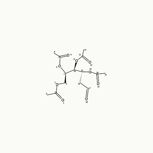 CC(=O)OC[C@@H](OC(C)=O)[C@@H](OC(C)=O)[C@@H](CC=O)OC(C)=O